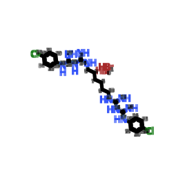 Br.Br.N=C(NCCCCCCNC(=N)NC(=N)Nc1ccc(Cl)cc1)NC(=N)Nc1ccc(Cl)cc1